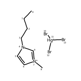 CCCCn1cc[n+](C)c1.[Br][Hg-]([Br])[Br]